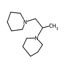 CC(CN1CCCCC1)N1CCCCC1